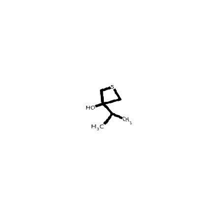 CC(C)C1(O)CSC1